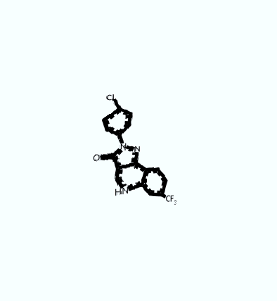 O=c1c2c[nH]c3cc(C(F)(F)F)ccc3c-2nn1-c1ccc(Cl)cc1